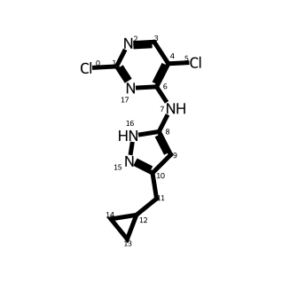 Clc1ncc(Cl)c(Nc2cc(CC3CC3)n[nH]2)n1